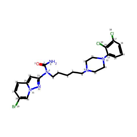 NC(=O)N(CCCCCN1CCN(c2cccc(Cl)c2Cl)CC1)c1cc2ccc(Br)cn2n1